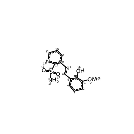 COc1cccc(C=Nc2cccnc2S(N)(=O)=O)c1O